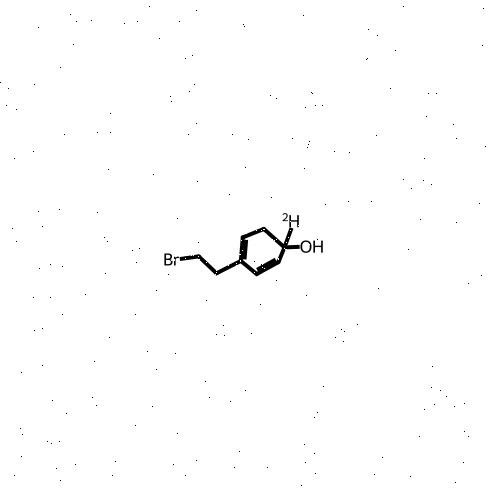 [2H]C1(O)C=CC(CCBr)=CC1